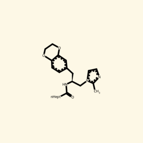 CCCCCCCC(=O)N[C@@H](Cc1ccc2c(c1)OCCO2)Cn1ccnc1C